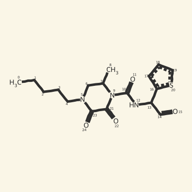 CCCCCN1CC(C)N(C(=O)NC([C]=O)c2cccs2)C(=O)C1=O